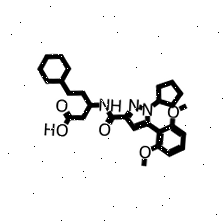 COc1cccc(OC)c1-c1cc(C(=O)NC(CCC2CCCCC2)CC(=O)O)nn1C1CCCC1